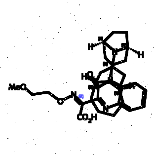 COCCO/N=C(\C(=O)O)c1nc2ccccc2n([C@H]2C[C@H]3CC[C@@H](C2)N3C2C[C@H]3CCCC[C@@H](C2)C3)c1=O